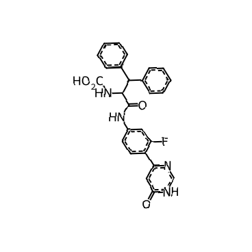 O=C(O)NC(C(=O)Nc1ccc(-c2cc(=O)[nH]cn2)c(F)c1)C(c1ccccc1)c1ccccc1